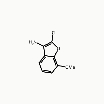 COc1cccc2c(N)c(Cl)oc12